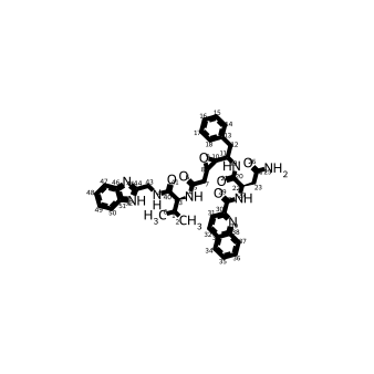 CC(C)[C@H](NC(=O)CC1OC1C(Cc1ccccc1)NC(=O)[C@@H](CC(N)=O)NC(=O)c1ccc2ccccc2n1)C(=O)NCc1nc2ccccc2[nH]1